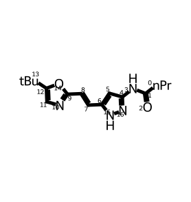 CCCC(=O)Nc1cc(C=Cc2ncc(C(C)(C)C)o2)[nH]n1